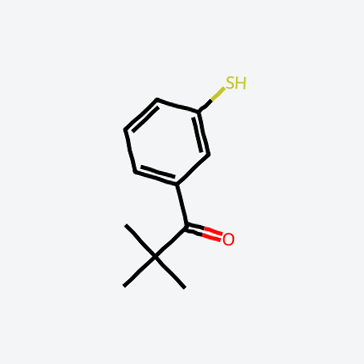 CC(C)(C)C(=O)c1cccc(S)c1